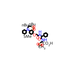 CCCCC1(CCCC)CN(c2ccccc2)c2cc(SC)c(OCC(=O)N[C@@H](C(=O)N[C@H](CS(C)(=O)=O)C(=O)O)c3ccccc3)cc2S(=O)(=O)C1